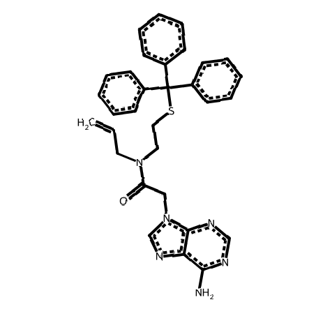 C=CCN(CCSC(c1ccccc1)(c1ccccc1)c1ccccc1)C(=O)Cn1cnc2c(N)ncnc21